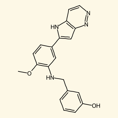 COc1ccc(-c2cc3nnccc3[nH]2)cc1NCc1cccc(O)c1